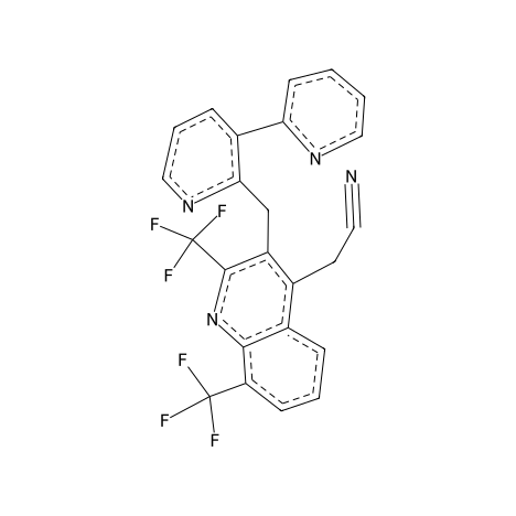 N#CCc1c(Cc2ncccc2-c2ccccn2)c(C(F)(F)F)nc2c(C(F)(F)F)cccc12